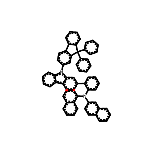 c1ccc(C2(c3ccccc3)c3ccccc3-c3ccc(-n4c5ccccc5c5ccc(-c6ccccc6N(c6ccc7ccccc7c6)c6cccc7ccccc67)cc54)cc32)cc1